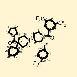 O=C(c1cc(C(F)(F)F)cc(C(F)(F)F)c1)N1CC[C@@H](N2CCC(C(=O)N3CCCC3)(c3ccccc3)CC2)C[C@H]1Cc1ccc(C(F)(F)F)cc1